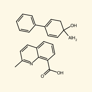 Cc1ccc2cccc(C(=O)O)c2n1.O[C]1([AlH2])C=CC(c2ccccc2)=CC1